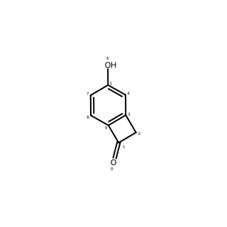 O=C1Cc2cc(O)ccc21